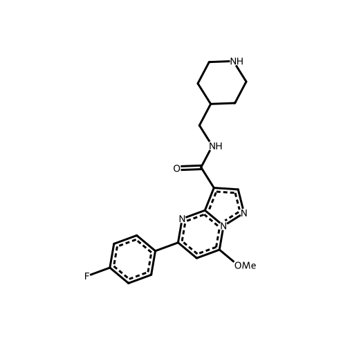 COc1cc(-c2ccc(F)cc2)nc2c(C(=O)NCC3CCNCC3)cnn12